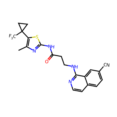 Cc1nc(NC(=O)CCNc2nccc3ccc(C#N)cc23)sc1C1(C(F)(F)F)CC1